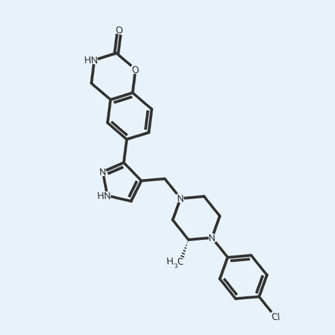 C[C@@H]1CN(Cc2c[nH]nc2-c2ccc3c(c2)CNC(=O)O3)CCN1c1ccc(Cl)cc1